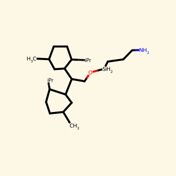 CC1CCC(C(C)C)C(C(CO[SiH2]CCCN)C2CC(C)CCC2C(C)C)C1